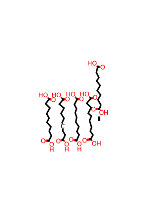 C=C.O=C(O)CCCCCCCCC(=O)O.O=C(O)CCCCCCCCC(=O)O.O=C(O)CCCCCCCCC(=O)O.O=C(O)CCCCCCCCC(=O)O.O=C(O)CCCCCCCCC(=O)O